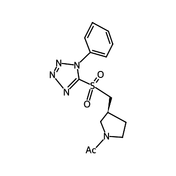 CC(=O)N1CC[C@H](CS(=O)(=O)c2nnnn2-c2ccccc2)C1